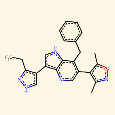 Cc1noc(C)c1-c1cnc2c(-c3c[nH]nc3CC(F)(F)F)c[nH]c2c1Cc1ccccc1